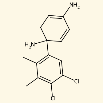 Cc1c(C2(N)C=CC(N)=CC2)cc(Cl)c(Cl)c1C